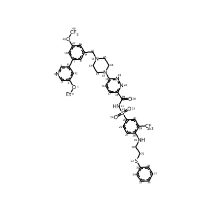 CCOc1cncc(-c2cc(CN3CCN(c4ccc(C(=O)NS(=O)(=O)c5ccc(NCCSc6ccccc6)c(C(F)(F)F)c5)nn4)CC3)cc(OC(F)(F)F)c2)c1